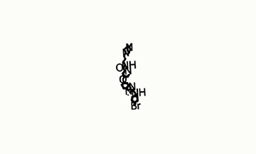 CN1CCN(CCCNC(=O)c2cc(Oc3ccc4c(c3)nc(Nc3ccc(Br)cc3)n4C)ccn2)CC1